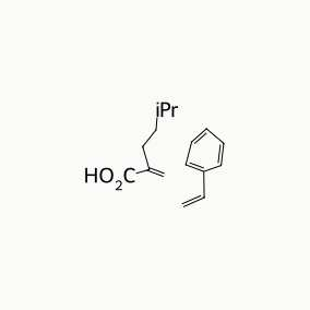 C=C(CCC(C)C)C(=O)O.C=Cc1ccccc1